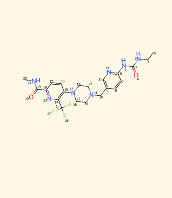 CCNC(=O)Nc1ccc(CN2CCN(c3ccc(C(=O)NC)nc3C(F)(F)F)CC2)cn1